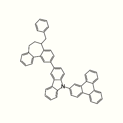 c1ccc(CC2CCc3ccccc3-c3cc(-c4ccc5c(c4)c4ccccc4n5-c4ccc5c6ccccc6c6ccccc6c5c4)ccc32)cc1